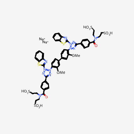 COc1cc(-c2ccc(-n3nc(-c4ccc(C(=O)N(CCS(=O)(=O)O)CCS(=O)(=O)O)cc4)n[n+]3-c3nc4ccccc4s3)c(OC)c2)ccc1-n1nc(-c2ccc(C(=O)N(CCS(=O)(=O)O)CCS(=O)(=O)O)cc2)n[n+]1-c1nc2ccccc2s1.[Na+].[Na+]